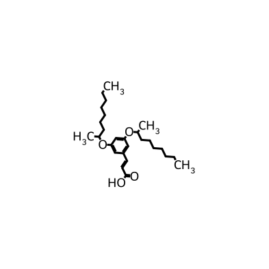 CCCCCCCC(C)Oc1cc(C=CC(=O)O)cc(OC(C)CCCCCCC)c1